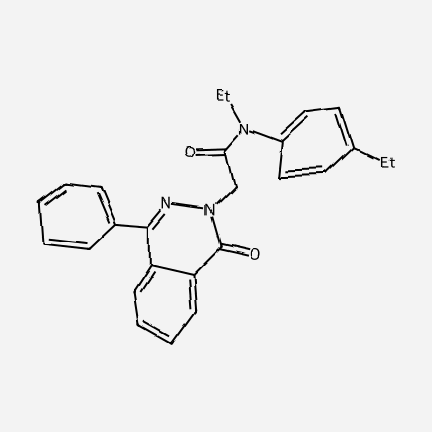 CCc1ccc(N(CC)C(=O)Cn2nc(-c3ccccc3)c3ccccc3c2=O)cc1